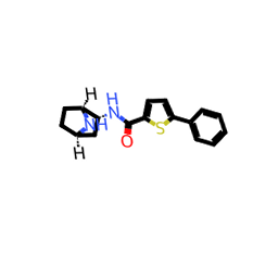 O=C(N[C@@H]1C[C@H]2CC[C@@H]1N2)c1ccc(-c2ccccc2)s1